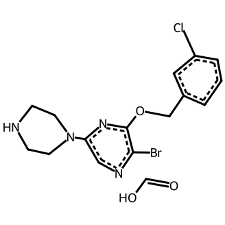 Clc1cccc(COc2nc(N3CCNCC3)cnc2Br)c1.O=CO